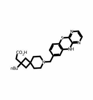 CCCCC1(CC(=O)O)CC2(CCN(Cc3ccc4c(c3)Nc3nccnc3S4)CC2)C1